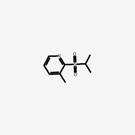 Cc1cccnc1S(=O)(=O)C(C)C